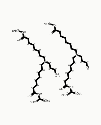 CCCCCCCCCOC(=O)CCCCCCCN(CCCCl)CCCCCCCC(=O)OC(CCCCCCCC)CCCCCCCC.CCCCCCCCCOC(=O)CCCCCCCN(CCCN)CCCCCCCC(=O)OC(CCCCCCCC)CCCCCCCC